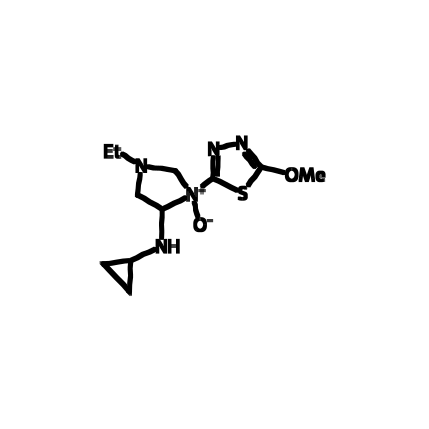 CCN1CC(NC2CC2)[N+]([O-])(c2nnc(OC)s2)C1